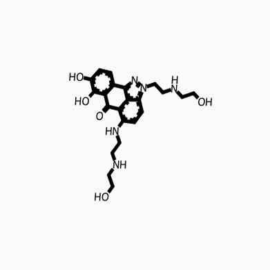 O=C1c2c(ccc(O)c2O)-c2nn(CCNCCO)c3ccc(NCCNCCO)c1c23